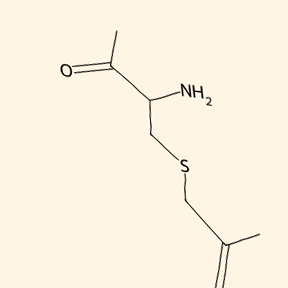 C=C(C)CSCC(N)C(C)=O